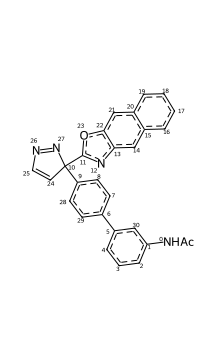 CC(=O)Nc1cccc(-c2ccc(C3(c4nc5cc6ccccc6cc5o4)C=CN=N3)cc2)c1